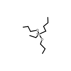 CCC[CH2][Sn]([CH2]C)([O]CCC)[O]CCC